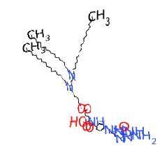 CCCCCCCCCCCCCCCCCCN(CCCCCCCCCCCCCCCCCC)CCCN(CCCCCCCCCCCCCCCCCC)CCCCCCOC(=O)CCC(NC(=O)c1ccc(NCc2cnc3nc(N)[nH]c(=O)c3n2)cc1)C(=O)O